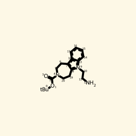 CC(C)(C)OC(=O)N1CCc2c(n(CCN)c3ccccc23)CC1